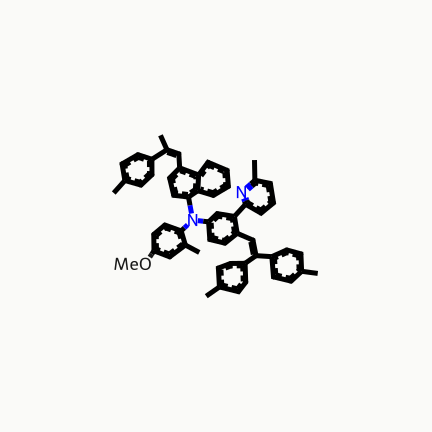 COc1ccc(N(c2ccc(C=C(c3ccc(C)cc3)c3ccc(C)cc3)c(-c3cccc(C)n3)c2)c2ccc(/C=C(/C)c3ccc(C)cc3)c3ccccc23)c(C)c1